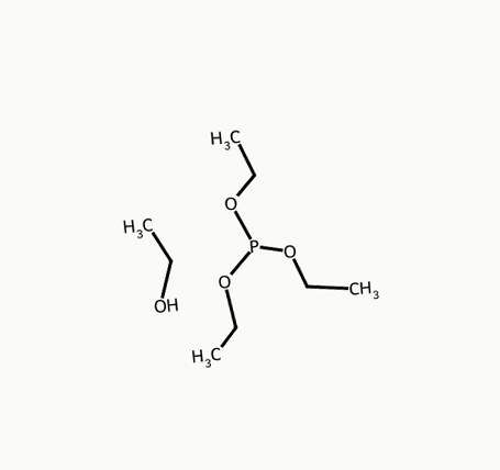 CCO.CCOP(OCC)OCC